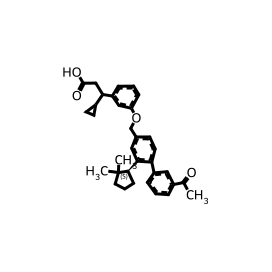 CC(=O)c1cccc(-c2ccc(COc3cccc(C(CC(=O)O)C4CC4)c3)cc2[C@H]2CCCC2(C)C)c1